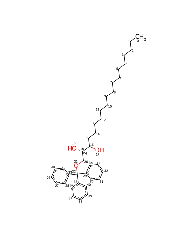 CCCCCCCCCCCCCCCCC(O)[C@@H](O)COC(c1ccccc1)(c1ccccc1)c1ccccc1